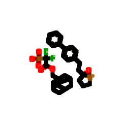 O=C(OCC12CC3CC(CC(C3)C1)C2)C(F)(F)S(=O)(=O)[O-].c1ccc(-c2ccc(CCC34CCC[S+]3O4)cc2)cc1